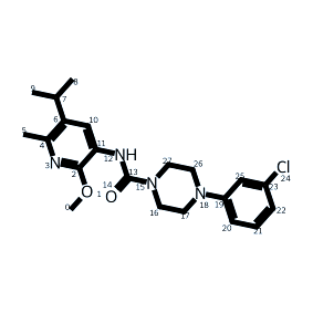 COc1nc(C)c(C(C)C)cc1NC(=O)N1CCN(c2cccc(Cl)c2)CC1